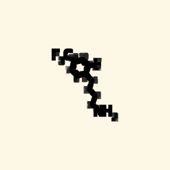 NCCCCc1ccc(C(F)(F)F)cc1F